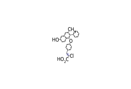 Cc1cc2cc(O)ccc2c(Oc2ccc(/C=C(\Cl)C(=O)O)cc2)c1-c1ccccc1